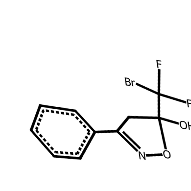 OC1(C(F)(F)Br)CC(c2ccccc2)=NO1